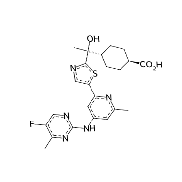 Cc1cc(Nc2ncc(F)c(C)n2)cc(-c2cnc(C(C)(O)[C@H]3CC[C@H](C(=O)O)CC3)s2)n1